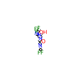 C[C@H]1CN(C(=O)C2(C)CN(C3CC(F)(F)C3)C2)Cc2cnc([C@@](C)(O)C(F)(F)F)n21